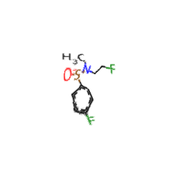 CN(CCF)[S+]([O-])c1ccc(F)cc1